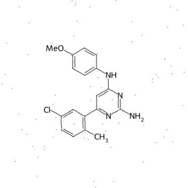 COc1ccc(Nc2cc(-c3cc(Cl)ccc3C)nc(N)n2)cc1